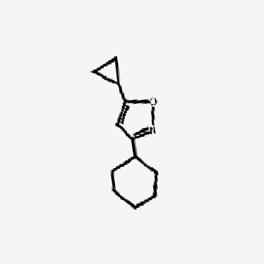 c1c(C2CCCCC2)noc1C1CC1